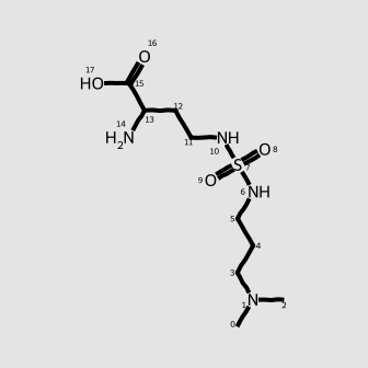 CN(C)CCCNS(=O)(=O)NCCC(N)C(=O)O